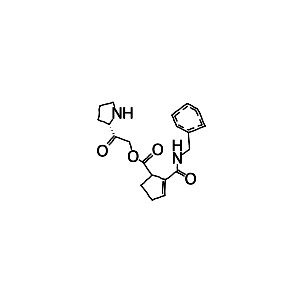 O=C(NCc1ccccc1)C1=CCCC1C(=O)OCC(=O)[C@@H]1CCCN1